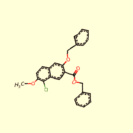 COc1ccc2cc(OCc3ccccc3)c(C(=O)OCc3ccccc3)cc2c1Cl